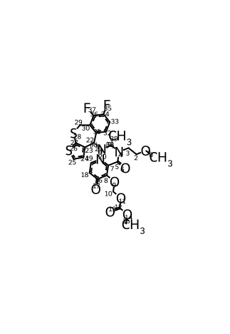 COCCN1C(=O)c2c(OCOC(=O)OC)c(=O)ccn2N([C@H]2c3ccsc3SCc3c2ccc(F)c3F)[C@@H]1C